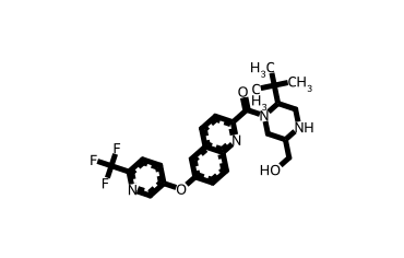 CC(C)(C)C1CNC(CO)CN1C(=O)c1ccc2cc(Oc3ccc(C(F)(F)F)nc3)ccc2n1